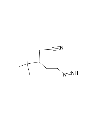 CC(C)(C)C(CC#N)CCN=N